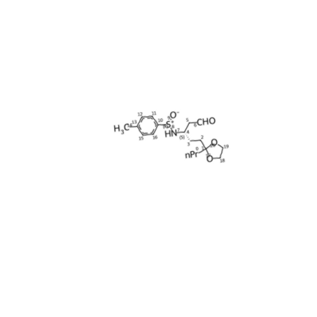 CCCC1(CC[C@@H](CC=O)N[S@@+]([O-])c2ccc(C)cc2)OCCO1